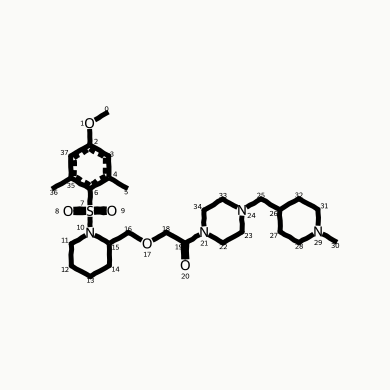 COc1cc(C)c(S(=O)(=O)N2CCCCC2COCC(=O)N2CCN(CC3CCN(C)CC3)CC2)c(C)c1